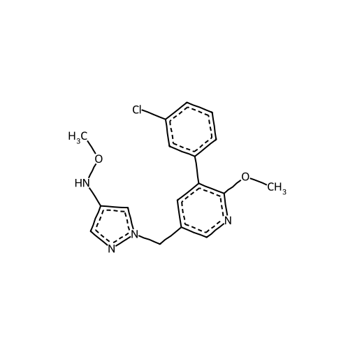 CONc1cnn(Cc2cnc(OC)c(-c3cccc(Cl)c3)c2)c1